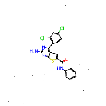 Nc1nc(-c2ccc(Cl)cc2Cl)c2cc(C(=O)Nc3ccccc3)sc2n1